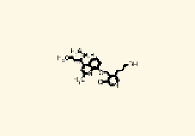 C=C/C=C(/c1cc(C)nc2c(OCc3c(Cl)cncc3CCCO)cccc12)N(C)C